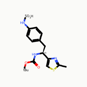 Cc1nc([C@H](Cc2ccc(NS(=O)(=O)O)cc2)NC(=O)OC(C)(C)C)cs1